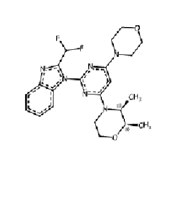 C[C@H]1OCCN(c2cc(N3CCOCC3)nc(-n3c(C(F)F)nc4ccccc43)n2)[C@H]1C